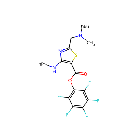 CCCCN(C)Cc1nc(NCCC)c(C(=O)Oc2c(F)c(F)c(F)c(F)c2F)s1